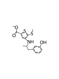 COC(=O)c1cc(NC(C)Cc2cccc(O)c2)c(SC)s1